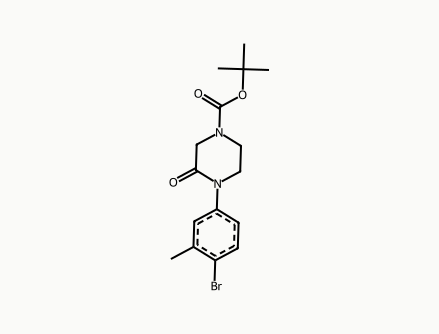 Cc1cc(N2CCN(C(=O)OC(C)(C)C)CC2=O)ccc1Br